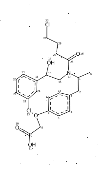 CC(Cc1ccc(OCC(=O)O)cc1)N(CC(O)c1cccc(Cl)c1)C(=O)CCCCl